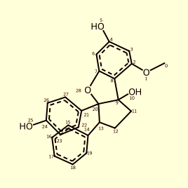 COc1cc(O)cc2c1C1(O)CCC(c3ccccc3)C1(c1ccc(O)cc1)O2